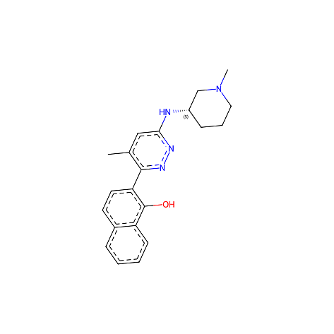 Cc1cc(N[C@H]2CCCN(C)C2)nnc1-c1ccc2ccccc2c1O